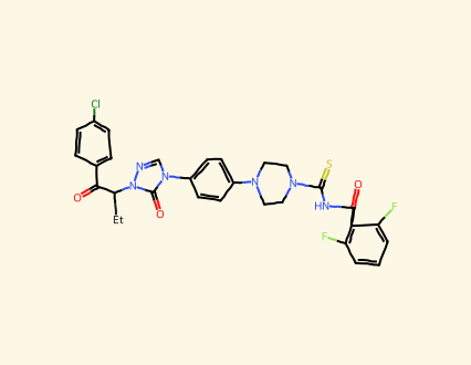 CCC(C(=O)c1ccc(Cl)cc1)n1ncn(-c2ccc(N3CCN(C(=S)NC(=O)c4c(F)cccc4F)CC3)cc2)c1=O